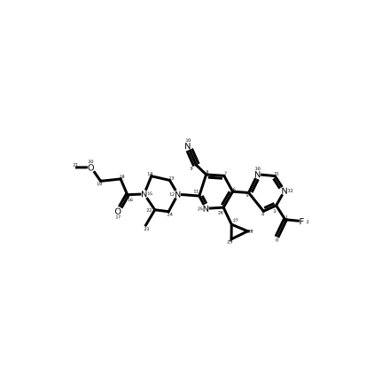 C=C(F)c1cc(-c2cc(C#N)c(N3CCN(C(=O)CCOC)C(C)C3)nc2C2CC2)ncn1